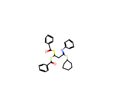 O=C(SC(CC(=Nc1ccccc1)SC1CCCCC1)SC(=O)c1ccccc1)c1ccccc1